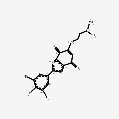 CN(C)CCNC1=CC(=O)c2oc(-c3cc(F)c(F)c(F)c3)nc2C1=O